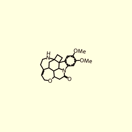 COc1cc2c(cc1OC)C13CCC14CC1C(=CCOC5CC(=O)N2C3C51)CCN4